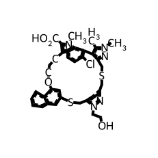 Cc1c2c(nn1C)CSCc1cc(n(CCO)n1)CSc1cc(c3ccccc3c1)OCCCc1c(C(=O)O)n(C)c3c-2c(Cl)ccc13